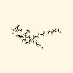 C=CCC(/C=C/C/C=C/C=C/C=N/C)c1ccc(CNC[C@@H]2CCC(=O)N2)c(OC)n1